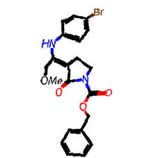 COCC(Nc1ccc(Br)cc1)=C1CCN(C(=O)OCc2ccccc2)C1=O